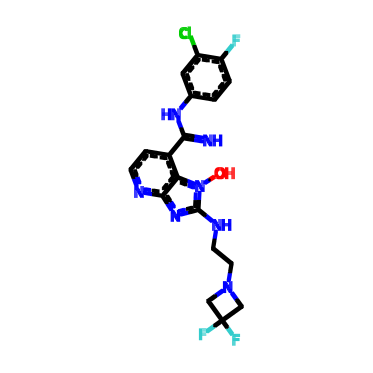 N=C(Nc1ccc(F)c(Cl)c1)c1ccnc2nc(NCCN3CC(F)(F)C3)n(O)c12